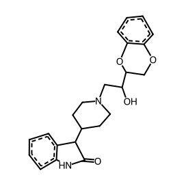 O=C1Nc2ccccc2C1C1CCN(CC(O)C2COc3ccccc3O2)CC1